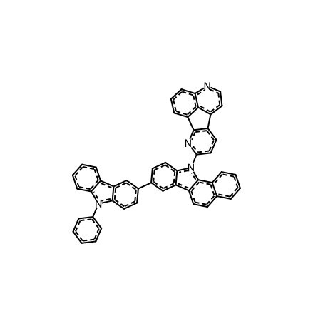 c1ccc(-n2c3ccccc3c3cc(-c4ccc5c(c4)c4ccc6ccccc6c4n5-c4ccc5c(n4)-c4cccc6nccc-5c46)ccc32)cc1